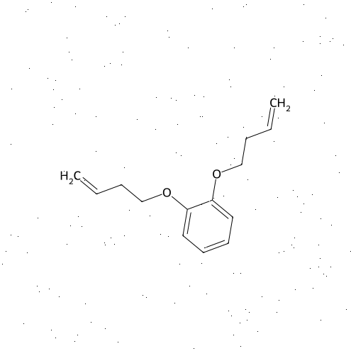 C=CCCOc1ccccc1OCCC=C